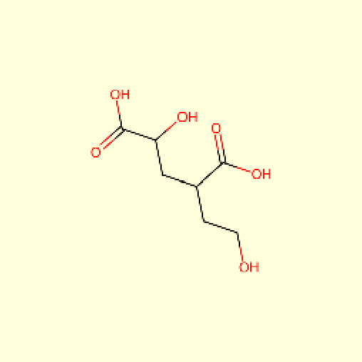 O=C(O)C(O)CC(CCO)C(=O)O